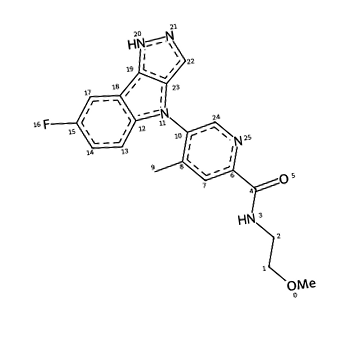 COCCNC(=O)c1cc(C)c(-n2c3ccc(F)cc3c3[nH]ncc32)cn1